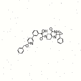 O=C([C@H](O)c1cccc(-c2ccc(OCc3ccccc3)nc2)c1)N1CCc2nc(C3(c4ccccc4)CC3)[nH]c(=O)c2C1